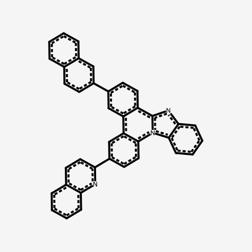 c1ccc2cc(-c3ccc4c(c3)c3cc(-c5ccc6ccccc6n5)ccc3n3c5ccccc5nc43)ccc2c1